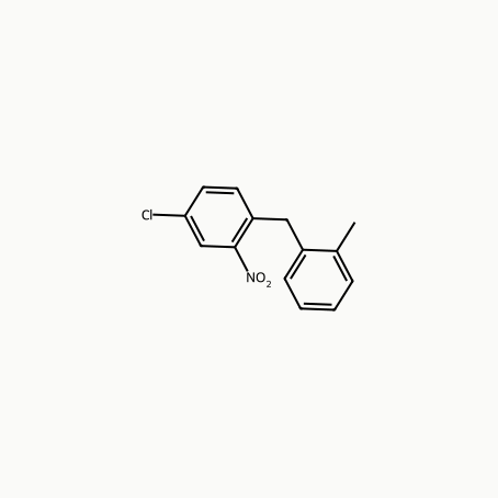 Cc1ccccc1Cc1ccc(Cl)cc1[N+](=O)[O-]